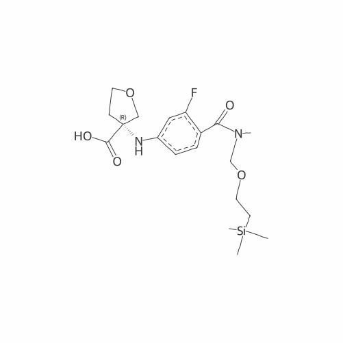 CN(COCC[Si](C)(C)C)C(=O)c1ccc(N[C@]2(C(=O)O)CCOC2)cc1F